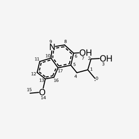 [CH2]C(CO)Cc1c(O)cnc2ccc(OC)cc12